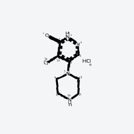 Cl.O=c1[nH]ncc(N2CCNCC2)c1Cl